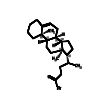 CC(C)C(=O)CCC(C)[C@H]1CC[C@H]2[C@@H]3CC=C4CCCC[C@]4(C)[C@H]3CC[C@]12C